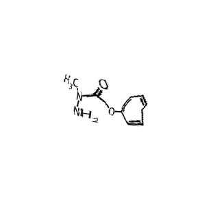 CN(N)C(=O)Oc1ccccc1